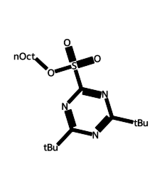 CCCCCCCCOS(=O)(=O)c1nc(C(C)(C)C)nc(C(C)(C)C)n1